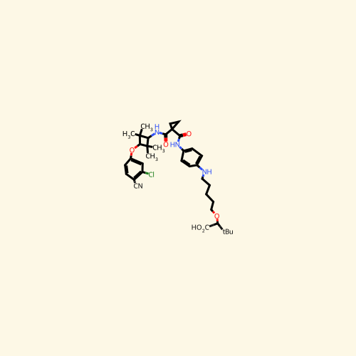 CC(C)(C)C(OCCCCCNc1ccc(NC(=O)C2(C(=O)NC3C(C)(C)C(Oc4ccc(C#N)c(Cl)c4)C3(C)C)CC2)cc1)C(=O)O